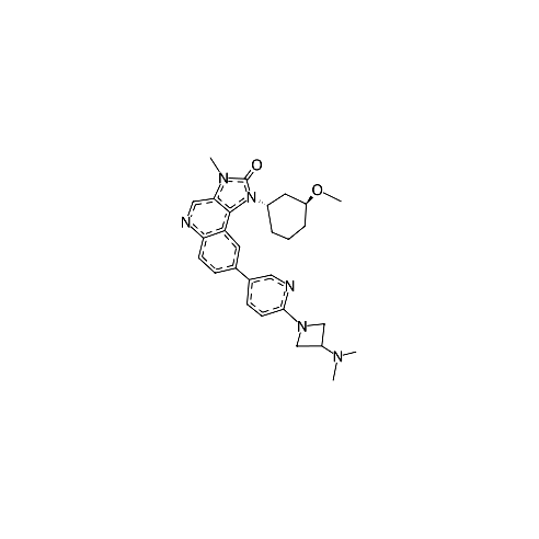 CO[C@H]1CCC[C@H](n2c(=O)n(C)c3cnc4ccc(-c5ccc(N6CC(N(C)C)C6)nc5)cc4c32)C1